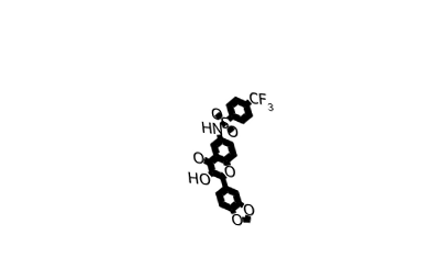 O=c1c(O)c(-c2ccc3c(c2)OCO3)oc2ccc(NS(=O)(=O)c3ccc(C(F)(F)F)cc3)cc12